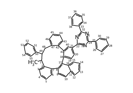 CC1c2ccccc2-c2ccc3ccccc3c2-c2ccc(-c3nc(-c4ccccc4)nc(-c4ccccc4)n3)cc2-c2ccccc2CC1c1ccccc1